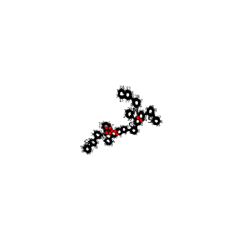 c1cc(-c2ccc3cc(-c4cccc5c4oc4c(-c6ccccc6N(c6cccc(-c7ccc8ccccc8c7)c6)c6cccc(-c7cccc8c7sc7ccccc78)c6)cccc45)ccc3c2)cc(N(c2cccc(-c3ccc4c(c3)sc3ccccc34)c2)c2ccccc2-c2cccc3c2oc2ccccc23)c1